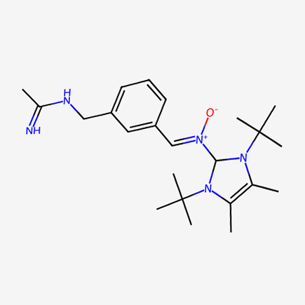 CC(=N)NCc1cccc(/C=[N+](\[O-])C2N(C(C)(C)C)C(C)=C(C)N2C(C)(C)C)c1